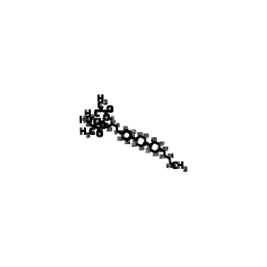 C=C(C)C(=O)OCC(CCc1ccc(C2CCC(C3CCC(CCCCC)CC3)CC2)cc1)COC(=O)C(C)(C)CO